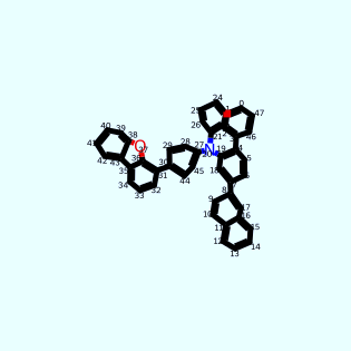 c1ccc(-c2ccc(-c3ccc4ccccc4c3)cc2N(c2ccccc2)c2ccc(-c3cccc4c3oc3ccccc34)cc2)cc1